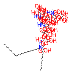 CCCCCCCC/C=C\CCCCCCCCCCCCCC(=O)N[C@@H](CO[C@@H]1OC(CO)[C@@H](O[C@@H]2OC(CO)[C@H](O[C@@H]3OC(CO)[C@H](O)[C@H](O[C@@H]4OC(CO)[C@H](O[C@@H]5OC(CO)[C@H](O)[C@H](O[C@@H]6OC(CO)[C@H](O)[C@H](O)C6O)C5NC(C)=O)[C@H](O[C@]5(C(=O)O)CC(O)[C@@H](NC(C)=O)C([C@H](O)[C@H](O)CO)O5)C4O)C3NC(C)=O)[C@H](O)C2O)[C@H](O)C1O)[C@H](O)/C=C/CCCCCCCCCCCCC